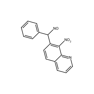 O=NC(c1ccccc1)c1ccc2cccnc2c1[N+](=O)[O-]